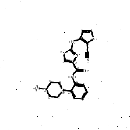 N#Cc1sccc1Nc1nc(C(=O)Nc2ccccc2N2CCC(N)CC2)cs1